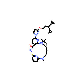 CN1CCCC2CN(c3nc(-n4ccc(OCCC(C5CC5)C5CC5)n4)ccc3C(=O)NSc3cccc1n3)C(C)(C)C2